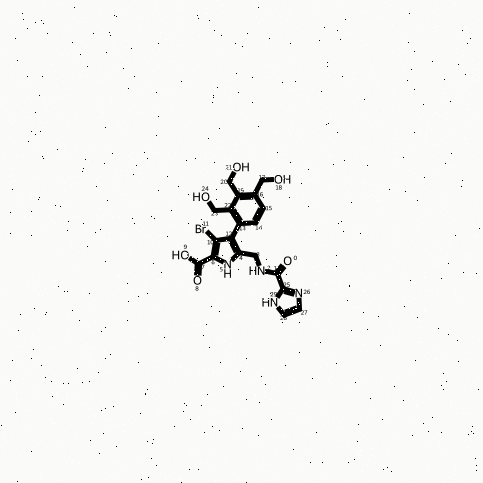 O=C(NCc1[nH]c(C(=O)O)c(Br)c1-c1ccc(CO)c(CO)c1CO)c1ncc[nH]1